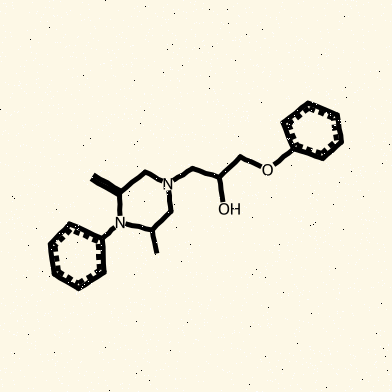 C=C1CN(CC(O)COc2ccccc2)CC(C)N1c1ccccc1